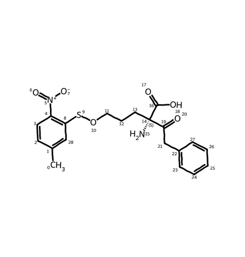 Cc1ccc([N+](=O)[O-])c(SOCCC[C@@](N)(C(=O)O)C(=O)Cc2ccccc2)c1